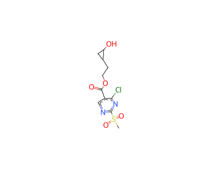 CS(=O)(=O)c1ncc(C(=O)OCCC2CC2O)c(Cl)n1